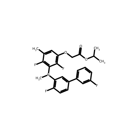 Cc1cc(OCC(=O)OC(C)C)c(F)c(N(C)c2cc(-c3cccc(F)c3)ccc2F)c1F